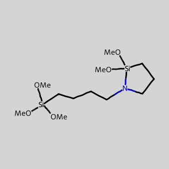 CO[Si](CCCCN1CCC[Si]1(OC)OC)(OC)OC